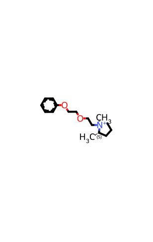 C[C@H]1CCC[N+]1(C)CCOCCOc1ccccc1